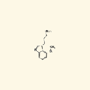 CCC.CCCCCCCCCCCCn1cnc2ccccc21